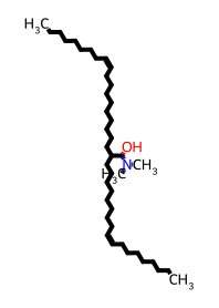 CCCCCCCC/C=C\CCCCCCCCCC(CCCCCCCC/C=C\CCCCCCCC)C(O)N(C)C